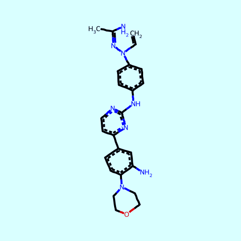 C=CN(/N=C(/C)N)c1ccc(Nc2nccc(-c3ccc(N4CCOCC4)c(N)c3)n2)cc1